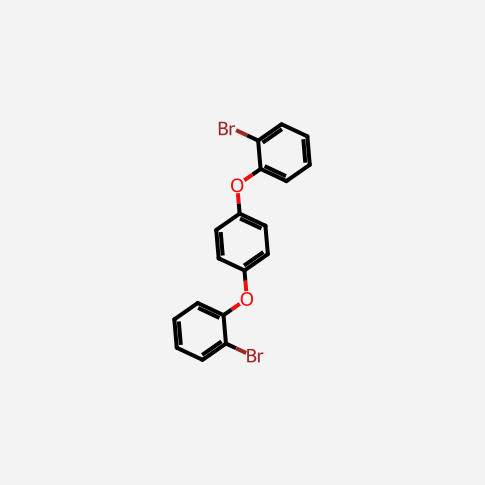 Brc1ccccc1Oc1ccc(Oc2ccccc2Br)cc1